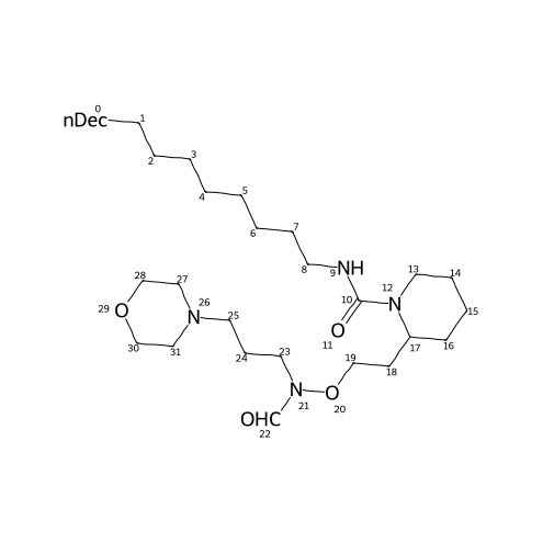 CCCCCCCCCCCCCCCCCCNC(=O)N1CCCCC1CCON(C=O)CCCN1CCOCC1